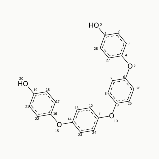 Oc1ccc(Oc2ccc(Oc3ccc(Oc4ccc(O)cc4)cc3)cc2)cc1